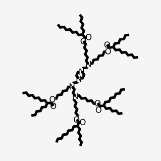 CCCCCCCCC(CCCCCC)C(=O)OCCCCCCN(CCCCCCOC(=O)C(CCCCCC)CCCCCCCC)CCN(CCCCCCOC(=O)C(CCCCCC)CCCCCCCC)CCN1CCN(CCN(CCCCCCOC(=O)C(CCCCCC)CCCCCCCC)CCCCCCOC(=O)C(CCCCCC)CCCCCCCC)CC1